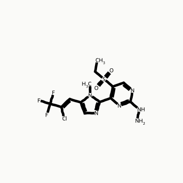 CCS(=O)(=O)c1cnc(NN)nc1-c1ncc(/C=C(\Cl)C(F)(F)F)n1C